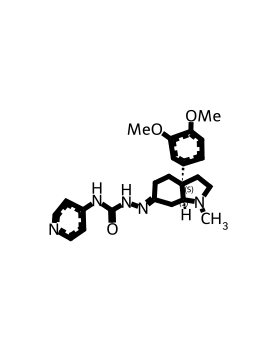 COc1ccc([C@@]23CCC(=NNC(=O)Nc4ccncc4)C[C@@H]2N(C)CC3)cc1OC